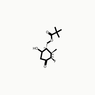 C[C@H]1[C@@H](F)C(=O)CC(O)[C@@H]1COC(=O)C(C)(C)C